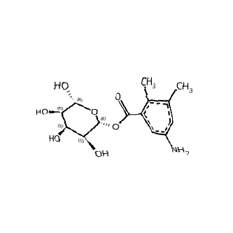 Cc1cc(N)cc(C(=O)O[C@H]2O[C@@H](O)[C@H](O)[C@H](O)[C@@H]2O)c1C